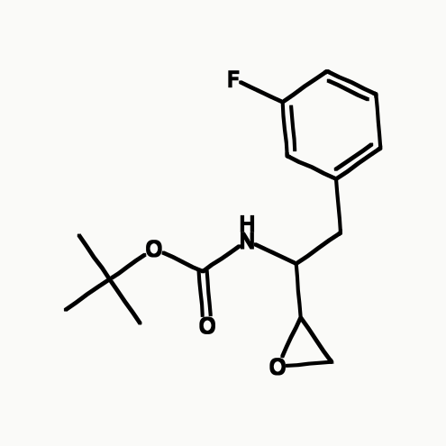 CC(C)(C)OC(=O)NC(Cc1cccc(F)c1)C1CO1